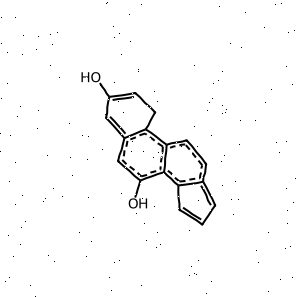 OC1=CCc2c(cc(O)c3c4c(ccc23)=CC=C4)=C1